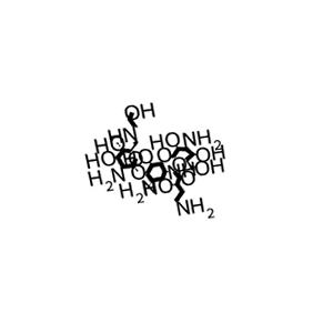 NCC[C@H](O)C(=O)N[C@@H]1C[C@H](N)C(O[C@H]2O[C@H](CNCCO)[C@@H](O)[C@H](O)[C@H]2N)[C@H](O)[C@H]1O[C@H]1O[C@H](CO)[C@@H](O)[C@H](N)[C@H]1O